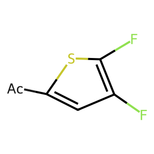 CC(=O)c1cc(F)c(F)s1